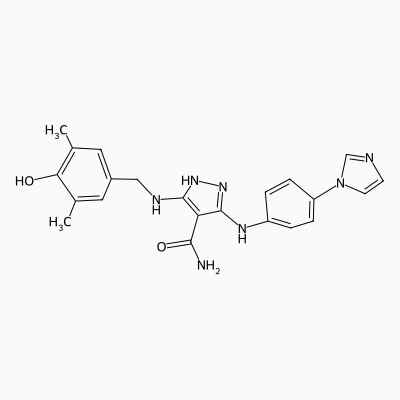 Cc1cc(CNc2[nH]nc(Nc3ccc(-n4ccnc4)cc3)c2C(N)=O)cc(C)c1O